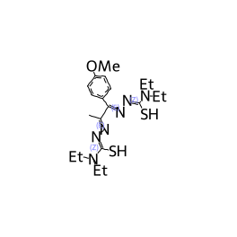 CCN(CC)/C(S)=N/N=C(C)/C(=N/N=C(\S)N(CC)CC)c1ccc(OC)cc1